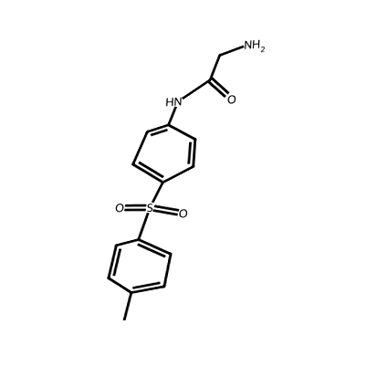 Cc1ccc(S(=O)(=O)c2ccc(NC(=O)CN)cc2)cc1